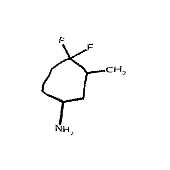 CC1CC(N)CCC1(F)F